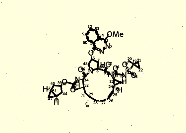 COc1nnc(O[C@@H]2C[C@H]3C(=O)N[C@]4(C(=O)NS(=O)(=O)C5(C)CC5)C[C@H]4/C=C\CC[C@H](C)C[C@@H](C)[C@H](NC(=O)O[C@@H]4C[C@@H]5C[C@@H]5C4)C(=O)N3C2)c2ccccc12